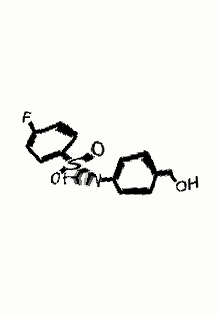 O=S(=O)(Nc1ccc(CO)cc1)c1ccc(F)cc1